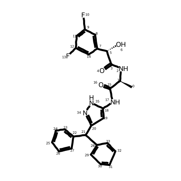 C[C@H](NC(=O)[C@@H](O)c1cc(F)cc(F)c1)C(=O)Nc1cc(C(c2ccccc2)c2ccccc2)n[nH]1